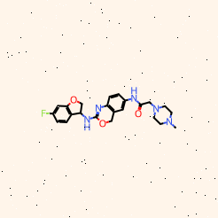 CN1CCN(CC(=O)Nc2ccc3c(c2)COC(NC2COc4cc(F)ccc42)=N3)CC1